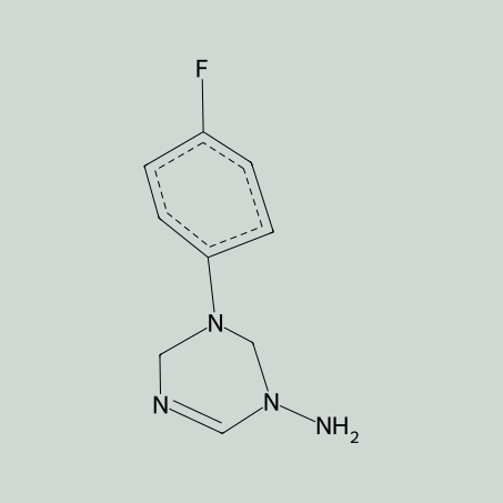 NN1C=NCN(c2ccc(F)cc2)C1